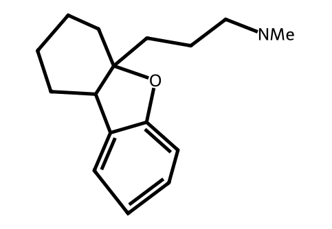 CNCCCC12CCCCC1c1ccccc1O2